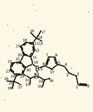 C=CCCCC1=CC=C(B2C3c4cc(C(C)(C)C)ccc4-c4ccc(C(C)(C)C)c(c43)C(C)N2C(C)C)C1